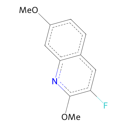 COc1ccc2cc(F)c(OC)nc2c1